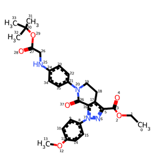 CCOC(=O)c1nn(-c2ccc(OC)cc2)c2c1CCN(c1ccc(NCC(=O)OC(C)(C)C)cc1)C2=O